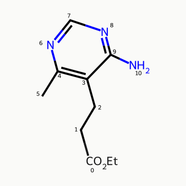 CCOC(=O)CCc1c(C)ncnc1N